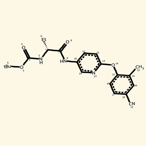 CC[C@@H](NC(=O)OC(C)(C)C)C(=O)Nc1ccc(Oc2ccc(C#N)cc2C)nc1